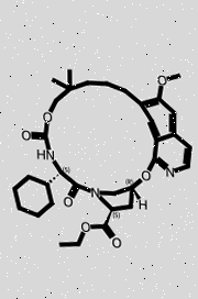 CCOC(=O)[C@@H]1C[C@@H]2CN1C(=O)[C@H](C1CCCCC1)NC(=O)OCC(C)(C)CCCc1cc3c(nccc3cc1OC)O2